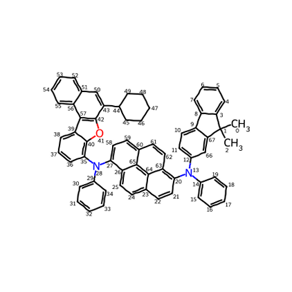 CC1(C)c2ccccc2-c2ccc(N(c3ccccc3)c3ccc4ccc5c(N(c6ccccc6)c6cccc7c6oc6c(C8CCCCC8)cc8ccccc8c67)ccc6ccc3c4c65)cc21